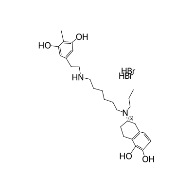 Br.Br.CCCN(CCCCCCNCCc1cc(O)c(C)c(O)c1)[C@H]1CCc2c(ccc(O)c2O)C1